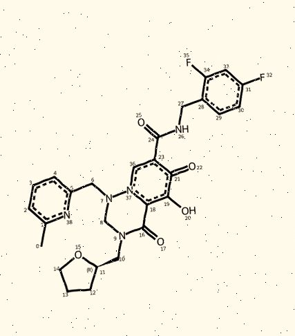 Cc1cccc(CN2CN(C[C@H]3CCCO3)C(=O)c3c(O)c(=O)c(C(=O)NCc4ccc(F)cc4F)cn32)n1